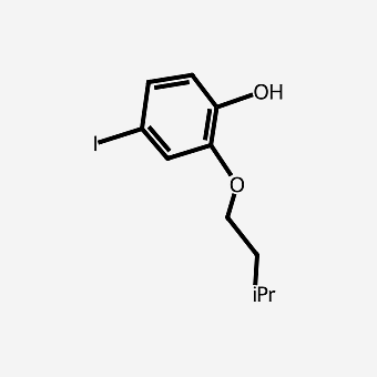 CC(C)CCOc1cc(I)ccc1O